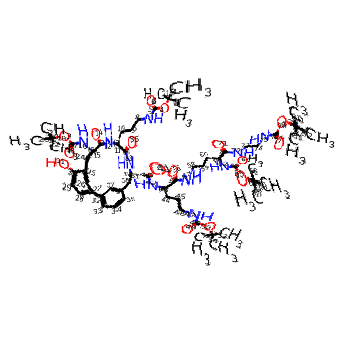 CC(C)(C)OC(=O)NCCC[C@@H]1NC(=O)[C@@H](NC(=O)OC(C)(C)C)Cc2cc(ccc2O)-c2cccc(c2)C[C@@H](C(=O)N[C@H](CCCNC(=O)OC(C)(C)C)C(=O)NCCC[C@H](NC(=O)OC(C)(C)C)C(=O)NCCNC(=O)OC(C)(C)C)NC1=O